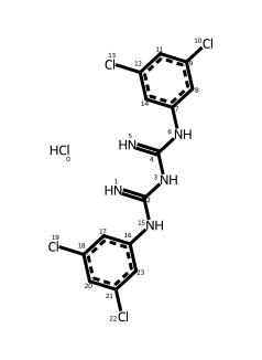 Cl.N=C(NC(=N)Nc1cc(Cl)cc(Cl)c1)Nc1cc(Cl)cc(Cl)c1